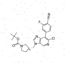 CC(C)(C)OC(=O)N1CC[C@@H](Cn2cnc3c(-c4ccc(C#N)c(F)c4)c(Cl)ncc32)C1